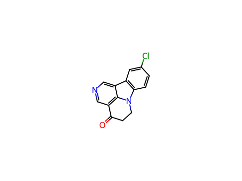 O=C1CCn2c3ccc(Cl)cc3c3cncc1c32